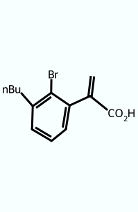 C=C(C(=O)O)c1cccc(CCCC)c1Br